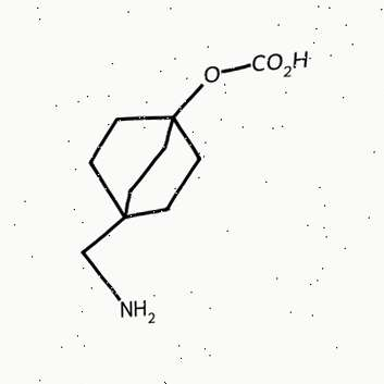 NCC12CCC(OC(=O)O)(CC1)CC2